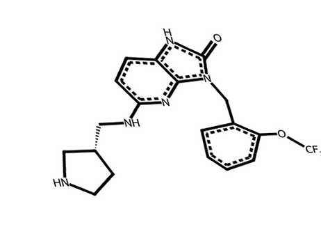 O=c1[nH]c2ccc(NC[C@@H]3CCNC3)nc2n1Cc1ccccc1OC(F)(F)F